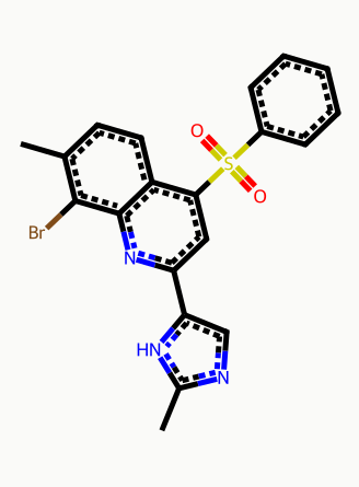 Cc1ncc(-c2cc(S(=O)(=O)c3ccccc3)c3ccc(C)c(Br)c3n2)[nH]1